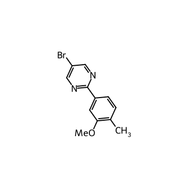 COc1cc(-c2ncc(Br)cn2)ccc1C